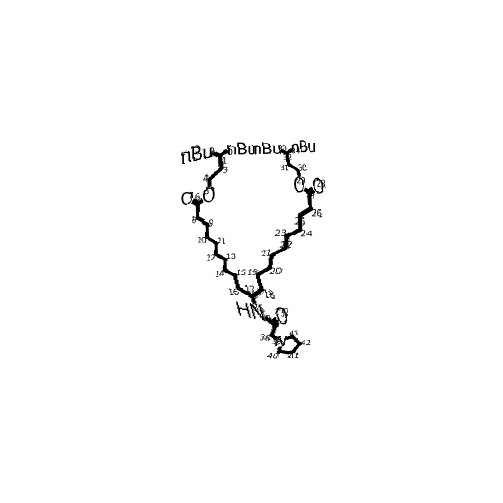 CCCCC(CCCC)CCOC(=O)CCCCCCCCCC(CCCCCCCCCC(=O)OCCC(CCCC)CCCC)NC(=O)CN1CCCC1